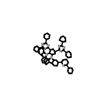 c1ccc(-c2cccc(-c3ccc4c5ccccc5n(-c5cc(-c6nc(-c7ccccc7)nc(-c7ccccc7)n6)cc(-c6nc(-c7ccccc7)nc(-c7ccccc7)n6)c5-n5c6ccccc6c6ccccc65)c4c3)n2)cc1